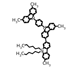 CCCCCC[Si]1(CCCCCC)c2cc(C)ccc2-c2ccc(-c3ccc4c(c3)c3cc(C)ccc3n4-c3ccc(-n4c5ccc(C)cc5c5cc(C)ccc54)cc3)cc21